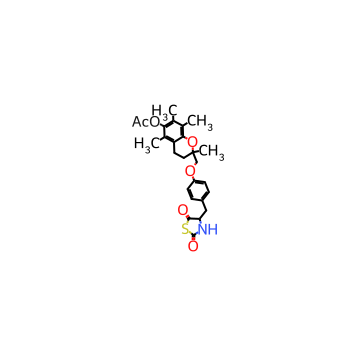 CC(=O)Oc1c(C)c(C)c2c(c1C)CCC(C)(COc1ccc(CC3NC(=O)SC3=O)cc1)O2